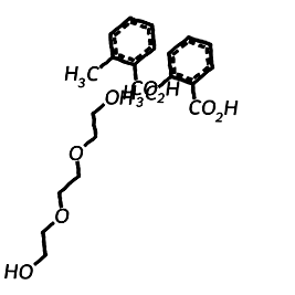 Cc1ccccc1C(=O)O.Cc1ccccc1C(=O)O.OCCOCCOCCO